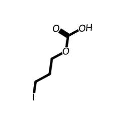 O=C(O)OCCCI